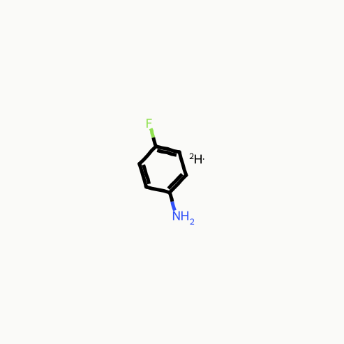 Nc1ccc(F)cc1.[2H]